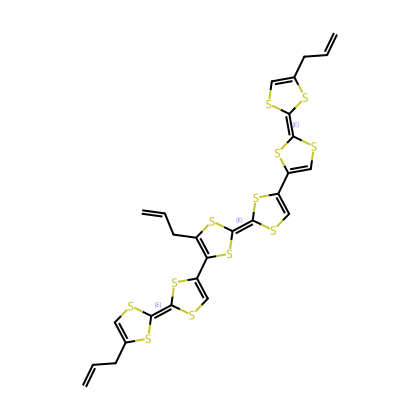 C=CCC1=CS/C(=C2/SC=C(C3=CS/C(=C4/SC(CC=C)=C(C5=CS/C(=C6/SC=C(CC=C)S6)S5)S4)S3)S2)S1